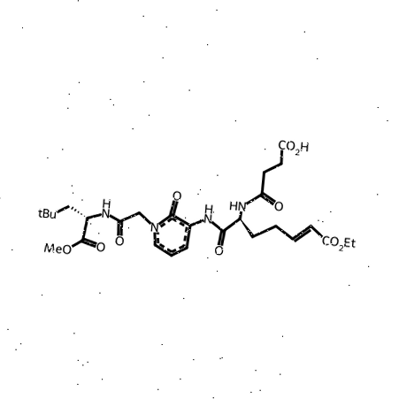 CCOC(=O)/C=C/CC[C@H](NC(=O)CCC(=O)O)C(=O)Nc1cccn(CC(=O)N[C@@H](CC(C)(C)C)C(=O)OC)c1=O